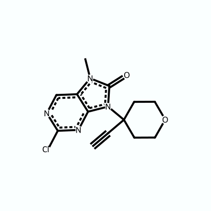 C#CC1(n2c(=O)n(C)c3cnc(Cl)nc32)CCOCC1